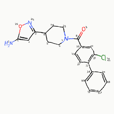 Nc1cc(C2CCN(C(=O)c3ccc(-c4ccccc4)c(Cl)c3)CC2)no1